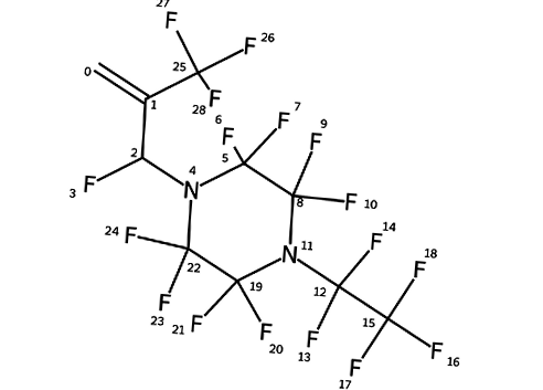 C=C(C(F)N1C(F)(F)C(F)(F)N(C(F)(F)C(F)(F)F)C(F)(F)C1(F)F)C(F)(F)F